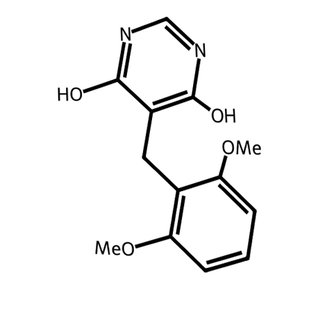 COc1cccc(OC)c1Cc1c(O)ncnc1O